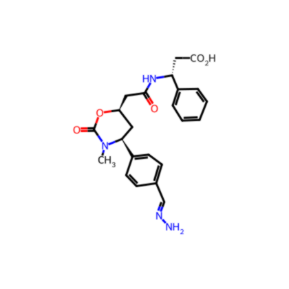 CN1C(=O)O[C@@H](CC(=O)N[C@H](CC(=O)O)c2ccccc2)C[C@H]1c1ccc(C=NN)cc1